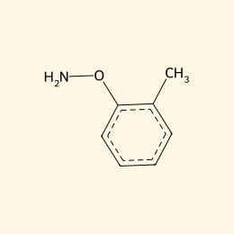 Cc1ccccc1ON